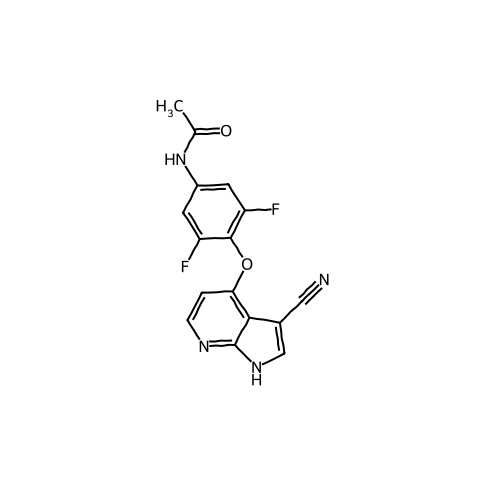 CC(=O)Nc1cc(F)c(Oc2ccnc3[nH]cc(C#N)c23)c(F)c1